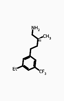 CCc1cc(CC[C@H](C)CN)cc(C(F)(F)F)c1